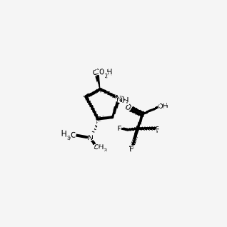 CN(C)[C@H]1CN[C@H](C(=O)O)C1.O=C(O)C(F)(F)F